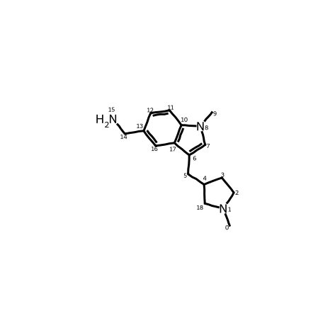 CN1CCC(Cc2cn(C)c3ccc(CN)cc23)C1